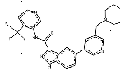 O=C(Nc1cnccc1C(F)(F)F)c1n[nH]c2ccc(-c3cncc(CN4CCCCC4)c3)cc12